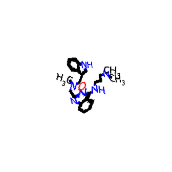 CN(C)CCCNc1nc(CN(C)C(=O)c2c[nH]c3ccccc23)nc2ccccc12